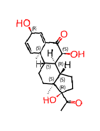 CC(=O)[C@@]1(O)CC[C@H]2[C@@H]3[C@H](O)C(=O)C4=C[C@H](O)C=C[C@]4(C)[C@H]3CC[C@@]21C